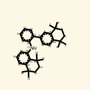 CC1(C)CCC(C)(C)c2cc(-c3ccccc3Nc3cccc4c3C(C)(C)CCC4(C)C)ccc21